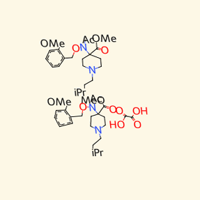 COC(=O)C1(N(OCc2ccccc2OC)C(C)=O)CCN(CCC(C)C)CC1.COC(=O)C1(N(OCc2ccccc2OC)C(C)=O)CCN(CCC(C)C)CC1.O=C(O)C(=O)O